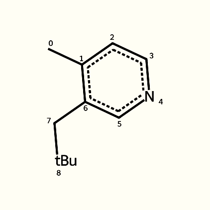 Cc1ccncc1CC(C)(C)C